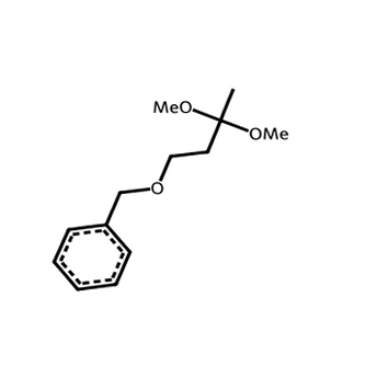 COC(C)(CCOCc1ccccc1)OC